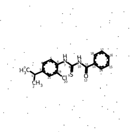 CC(C)c1ccc(NC(=S)NC(=O)c2ccccc2)c(Cl)c1